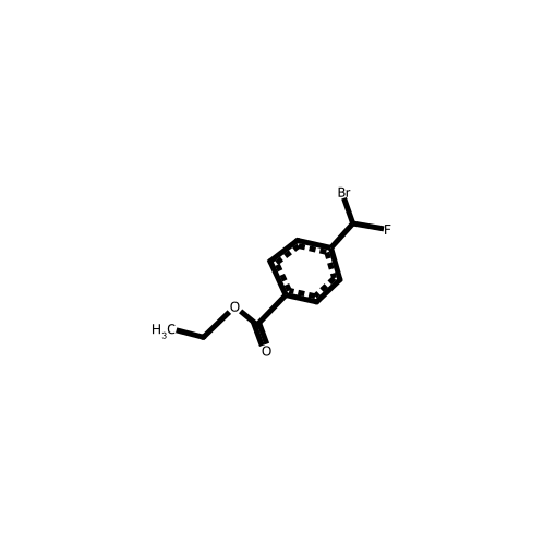 CCOC(=O)c1ccc(C(F)Br)cc1